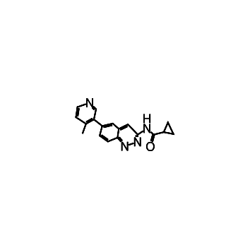 Cc1ccncc1-c1ccc2nnc(NC(=O)C3CC3)cc2c1